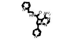 Nc1ncnn2c(-c3ccncc3)cc(C(=O)NCCc3ccccn3)c12